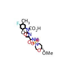 COC[C@H]1CCN(S(=O)(=O)NC(=O)c2coc(N(C(=O)O)c3cc(C)c(F)cc3C)n2)CCO1